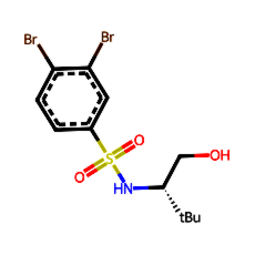 CC(C)(C)[C@@H](CO)NS(=O)(=O)c1ccc(Br)c(Br)c1